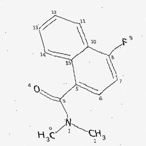 CN(C)C(=O)c1ccc(F)c2ccccc12